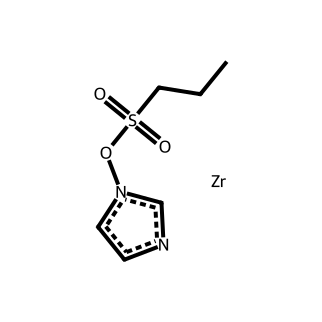 CCCS(=O)(=O)On1ccnc1.[Zr]